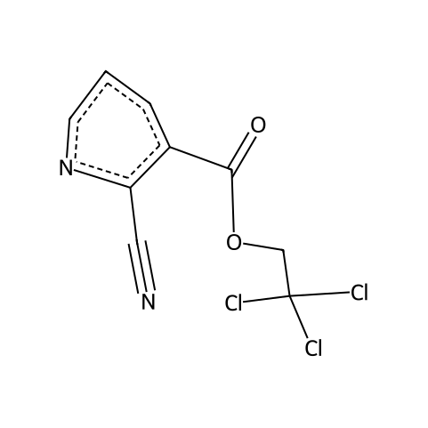 N#Cc1ncccc1C(=O)OCC(Cl)(Cl)Cl